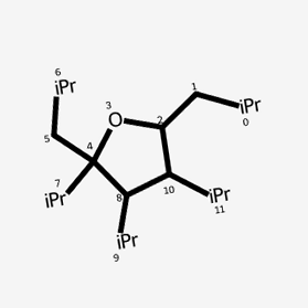 CC(C)CC1OC(CC(C)C)(C(C)C)C(C(C)C)C1C(C)C